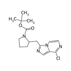 CC(C)(C)OC(=O)N1CCCC1Cc1ncc2c(Cl)nccn12